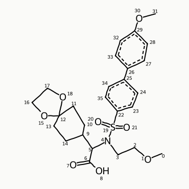 COCCN(C(C(=O)O)C1CCC2(CC1)OCCO2)S(=O)(=O)c1ccc(-c2ccc(OC)cc2)cc1